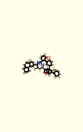 CC1CC(c2ccccc2)=NC(c2cccc3oc4ccc(-c5cccc6c5sc5ccccc56)cc4c23)=NC1c1ccc2ccc3ccccc3c2c1